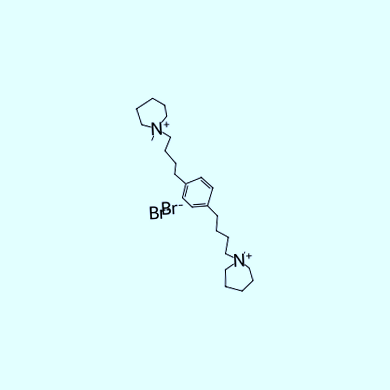 C[N+]1(CCCCc2ccc(CCCC[N+]3(C)CCCCC3)cc2)CCCCC1.[Br-].[Br-]